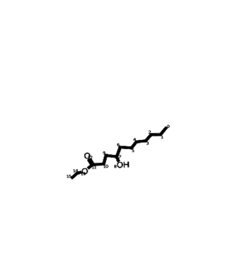 CCCCCCCC(O)CCC(=O)OCC